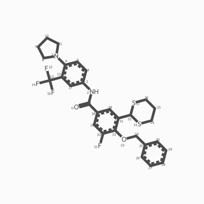 O=C(Nc1ccc(N2CCCC2)c(C(F)(F)F)c1)c1cc(F)c(OCc2ccccc2)c(C2SCCCS2)c1